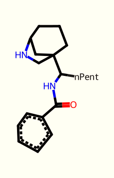 CCCCCC(NC(=O)c1ccccc1)C12CCCC(C1)NC2